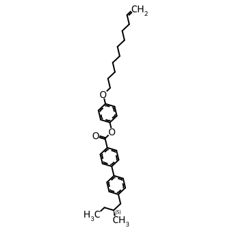 C=CCCCCCCCCCOc1ccc(OC(=O)c2ccc(-c3ccc(C[C@@H](C)CC)cc3)cc2)cc1